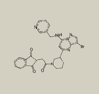 O=C1c2ccccc2C(=O)C1CC(=O)N1CCCC(c2cc(NCc3cccnc3)n3ncc(Br)c3n2)C1